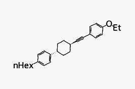 CCCCCCc1ccc([C@H]2CC[C@H](C#Cc3ccc(OCC)cc3)CC2)cc1